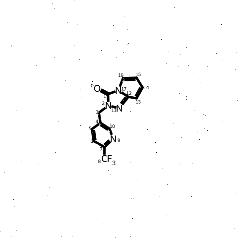 O=c1n(Cc2ccc(C(F)(F)F)nc2)nc2ccccn12